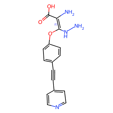 NN/C(Oc1ccc(C#Cc2ccncc2)cc1)=C(\N)C(=O)O